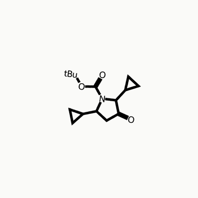 CC(C)(C)OC(=O)N1C(C2CC2)CC(=O)C1C1CC1